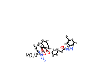 Cc1cc(C)cc(NC(=O)Cc2ccc(OC3(C(=O)CC(C)[C@H](N)C(=O)O)CCCC3)cc2)c1